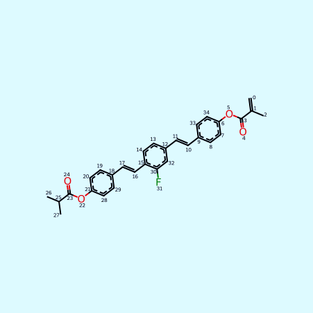 C=C(C)C(=O)Oc1ccc(C=Cc2ccc(C=Cc3ccc(OC(=O)C(C)C)cc3)c(F)c2)cc1